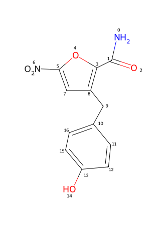 NC(=O)c1oc([N+](=O)[O-])cc1Cc1ccc(O)cc1